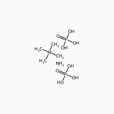 C[N+](C)(C)C.N.O=P(O)(O)O.O=P(O)(O)O